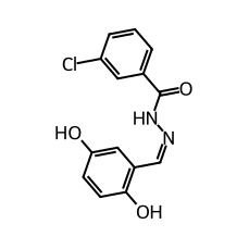 O=C(N/N=C\c1cc(O)ccc1O)c1cccc(Cl)c1